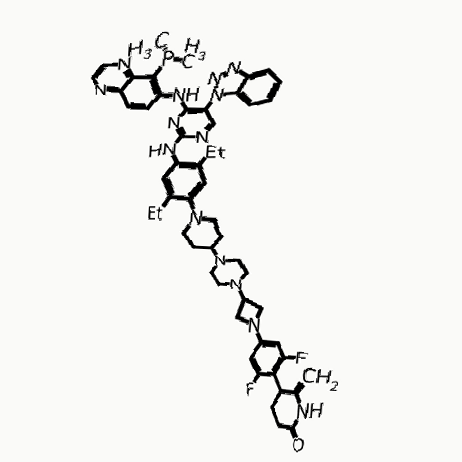 C=C1NC(=O)CCC1c1c(F)cc(N2CC(N3CCN(C4CCN(c5cc(CC)c(Nc6ncc(-n7nnc8ccccc87)c(Nc7ccc8nccnc8c7P(C)C)n6)cc5CC)CC4)CC3)C2)cc1F